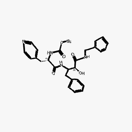 CC(C)(C)OC(=O)N[C@@H](Cc1ccncc1)C(=O)NC(Cc1ccccc1)[C@H](O)C(=O)NCc1ccccc1